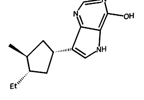 CC[C@H]1C[C@@H](c2c[nH]c3c(O)ncnc23)C[C@@H]1C